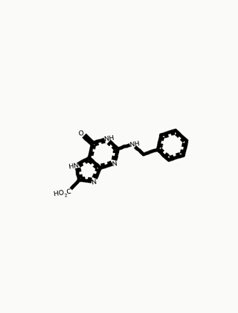 O=C(O)c1nc2nc(NCc3ccccc3)[nH]c(=O)c2[nH]1